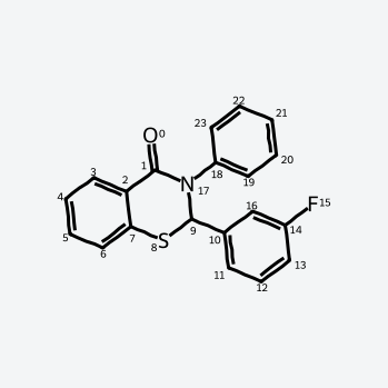 O=C1c2ccccc2SC(c2cccc(F)c2)N1c1ccccc1